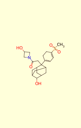 CS(=O)(=O)C1=CC=C(C2(CC(=O)N3CC(O)C3)C3CC4CC2CC(C3)C4O)CC1